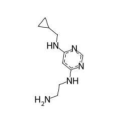 NCCNc1cc(NCC2CC2)ncn1